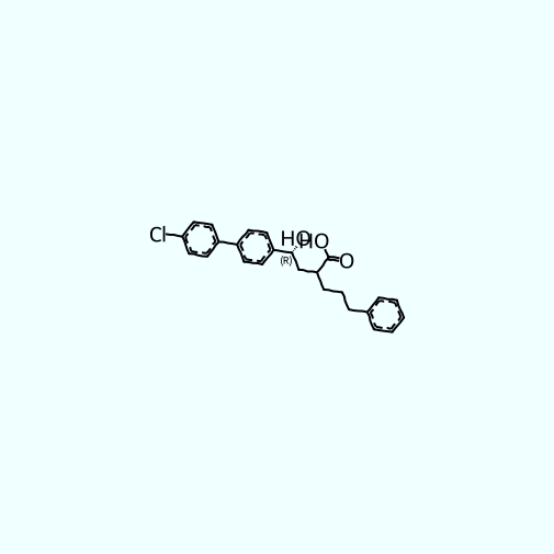 O=C(O)C(CCCc1ccccc1)C[C@@H](O)c1ccc(-c2ccc(Cl)cc2)cc1